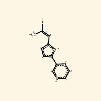 [CH2]/C(F)=C\c1ccc(-c2cnccn2)s1